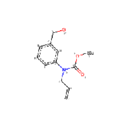 C=CCN(C(=O)OC(C)(C)C)c1cccc(CO)c1